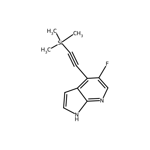 C[Si](C)(C)C#Cc1c(F)cnc2[nH]ccc12